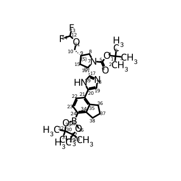 CC(C)(C)OC(=O)N1C[C@@H](COC(F)F)C[C@H]1c1ncc(-c2ccc(B3OC(C)(C)C(C)(C)O3)c3c2CCC3)[nH]1